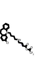 O=C(/C=C/CNCCCCN1c2ccccc2CCc2ccc(Cl)cc21)OC(=O)C(F)(F)F